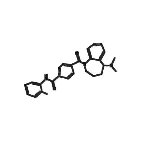 Cc1ccccc1NC(=O)c1ccc(C(=O)N2CCCC(N(C)C)c3ccccc32)cc1